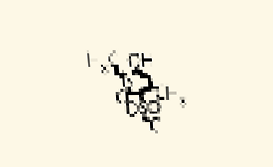 CCn1c(O)cc(C)c(S(=O)(=O)CCl)c1=O